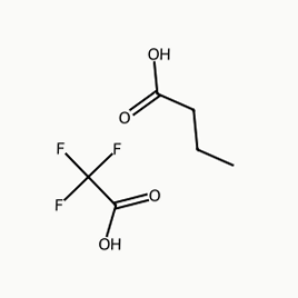 CCCC(=O)O.O=C(O)C(F)(F)F